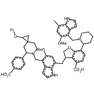 CCOC1CC12CCN(Cc1c(OC)cc(CC3COc4c(C5CCCCN5Cc5c(OC)cc(C)c6[nH]ccc56)ccc(C(=O)O)c43)c3[nH]ccc13)C(c1ccc(C(=O)O)cc1)C2